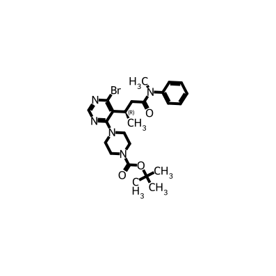 C[C@H](CC(=O)N(C)c1ccccc1)c1c(Br)ncnc1N1CCN(C(=O)OC(C)(C)C)CC1